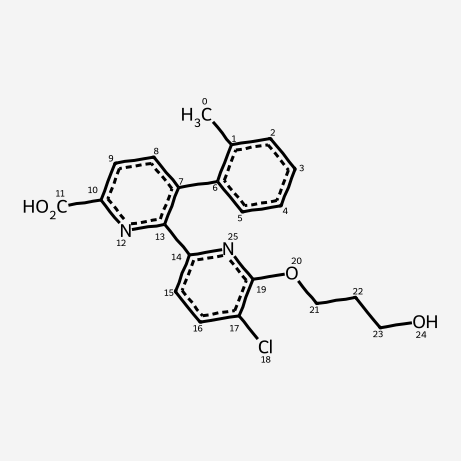 Cc1ccccc1-c1ccc(C(=O)O)nc1-c1ccc(Cl)c(OCCCO)n1